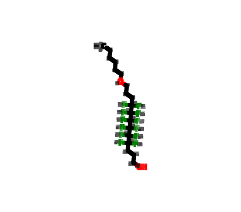 CCCCCCOCCCC(F)(F)C(F)(F)C(F)(F)C(F)(F)C(F)(F)C(F)(F)CCCO